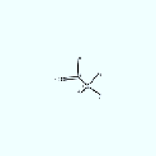 CC(=O)S(C)(C)C